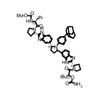 CCC(C)[C@H](OC(N)=O)C(=O)N1CCC[C@H]1c1nc2ccc(C3CC[C@H](c4ccc5[nH]c([C@@H]6CCCN6C(=O)[C@@H](NC(=O)OC)C(C)C)nc5c4)N3c3ccc(C45CC6CC(CC(C6)C4)C5)cc3)cc2[nH]1